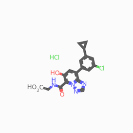 Cl.O=C(O)CNC(=O)c1c(O)cc(-c2cc(Cl)cc(C3CC3)c2)c2ncnn12